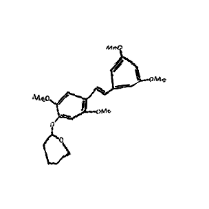 COc1cc(C=Cc2cc(OC)c(OC3CCCCO3)cc2OC)cc(OC)c1